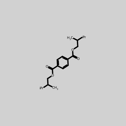 CC(C)C(C)COC(=O)c1ccc(C(=O)OCC(C)C(C)C)cc1